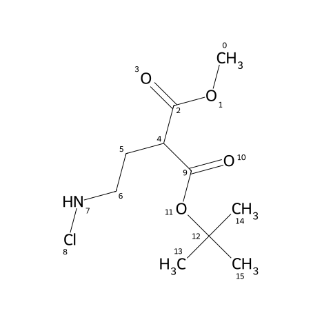 COC(=O)C(CCNCl)C(=O)OC(C)(C)C